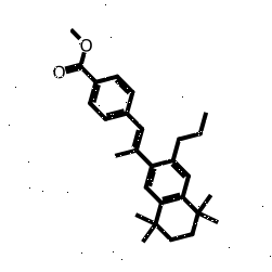 CCCc1cc2c(cc1C(C)=Cc1ccc(C(=O)OC)cc1)C(C)(C)CCC2(C)C